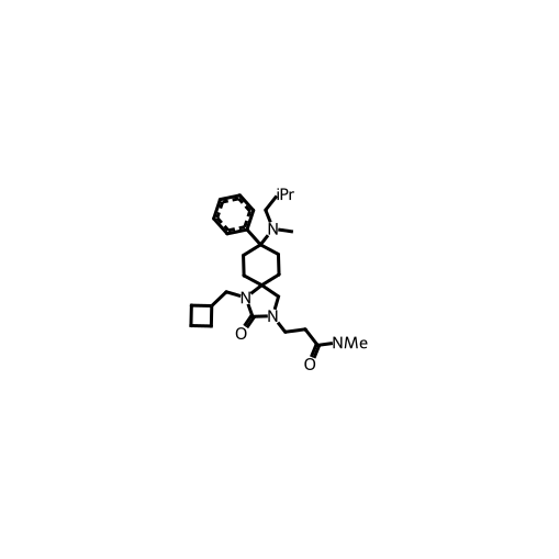 CNC(=O)CCN1CC2(CCC(c3ccccc3)(N(C)CC(C)C)CC2)N(CC2CCC2)C1=O